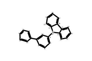 c1ccc(-c2cccc(-n3c4ccccc4c4ccccc43)c2)cc1